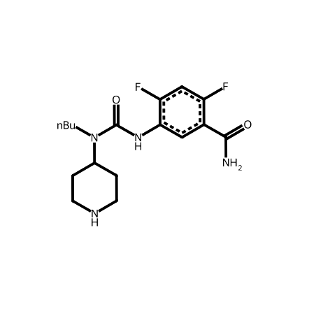 CCCCN(C(=O)Nc1cc(C(N)=O)c(F)cc1F)C1CCNCC1